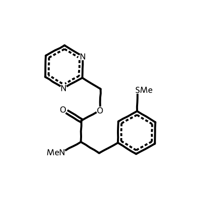 CNC(Cc1cccc(SC)c1)C(=O)OCc1ncccn1